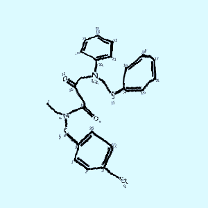 CCc1ccc(SN(C)C(=O)C(=O)N(Sc2ccccc2)c2ccccc2)cc1